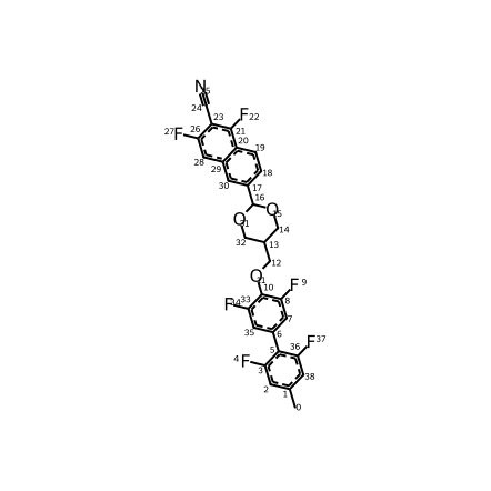 Cc1cc(F)c(-c2cc(F)c(OCC3COC(c4ccc5c(F)c(C#N)c(F)cc5c4)OC3)c(F)c2)c(F)c1